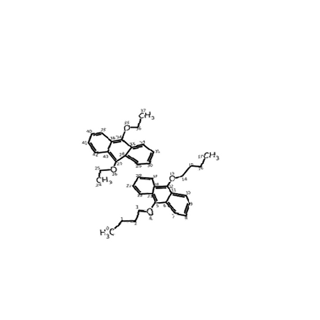 CCCCOc1c2ccccc2c(OCCCC)c2ccccc12.CCOc1c2ccccc2c(OCC)c2ccccc12